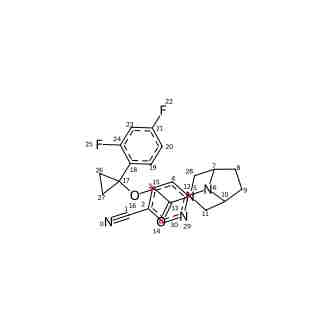 N#Cc1ccc(N2C3CCC2CN(C(=O)COC2(c4ccc(F)cc4F)CC2)C3)nc1